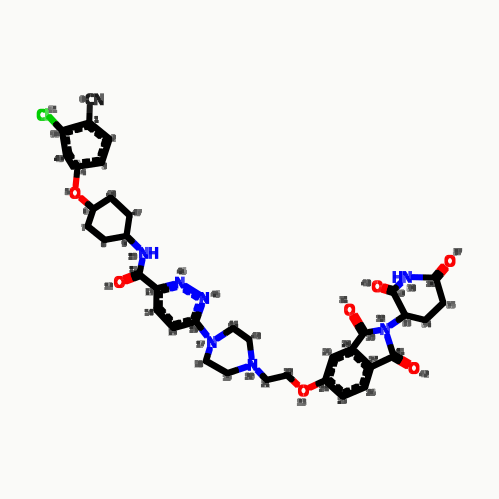 N#Cc1ccc(OC2CCC(NC(=O)c3ccc(N4CCN(CCOc5ccc6c(c5)C(=O)N(C5CCC(=O)NC5=O)C6=O)CC4)nn3)CC2)cc1Cl